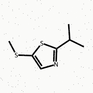 CSc1cnc(C(C)C)s1